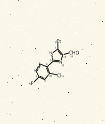 CCc1sc(-c2ccc(F)cc2Cl)nc1C=O